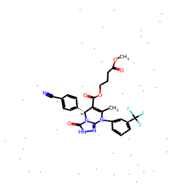 COC(=O)CCCOC(=O)C1=C(C)N(c2cccc(C(F)(F)F)c2)c2n[nH]c(=O)n2[C@@H]1c1ccc(C#N)cc1